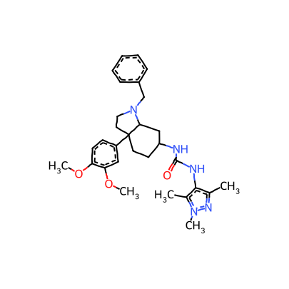 COc1ccc(C23CCC(NC(=O)Nc4c(C)nn(C)c4C)CC2N(Cc2ccccc2)CC3)cc1OC